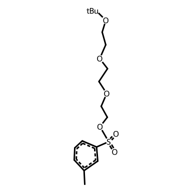 Cc1cccc(S(=O)(=O)OCCOCCOCCOC(C)(C)C)c1